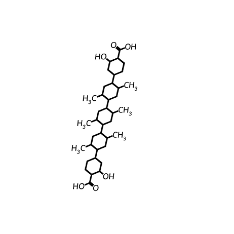 CC1CC(C2CC(C)C(C3CC(C)C(C4CCC(C(=O)O)C(O)C4)CC3C)CC2C)C(C)CC1C1CCC(C(=O)O)C(O)C1